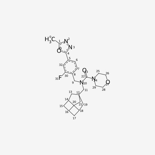 Cc1nnc(-c2ccc(CN(CC34CC5CC6CC(C3)C65C4)C(=O)N3CCOCC3)c(F)c2)o1